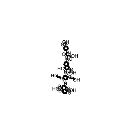 O=C(O)C1=NN(c2ccc(S(=O)(=O)O)cc2)C(=O)C1/N=N/c1ccc2c(O)c(/N=N/c3cc(OCCO)c(/N=N/c4cc(S(=O)(=O)O)c5cccc(S(=O)(=O)O)c5c4)cc3OCCO)c(S(=O)(=O)O)cc2c1